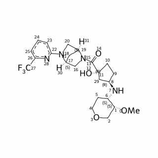 CO[C@@H]1COCC[C@@H]1N[C@@H]1CC[C@](O)(C(=O)N2C[C@@H]3C[C@H]2CN3c2cccc(C(F)(F)F)n2)C1